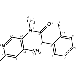 CN(C(=O)Cc1ccccc1F)c1cnc(Br)cc1N